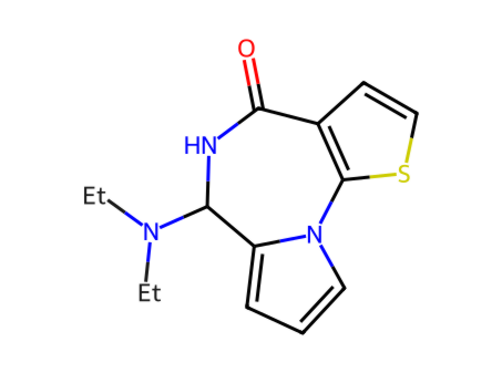 CCN(CC)C1NC(=O)c2ccsc2-n2cccc21